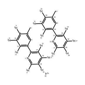 [2H]c1nc(-c2cc(C)c([2H])c([2H])c2[2H])c([2H])c([2H])c1[2H].[2H]c1nc(-c2cc(C)c([2H])c([2H])c2[2H])c([2H])c([2H])c1[2H].[Ir+3]